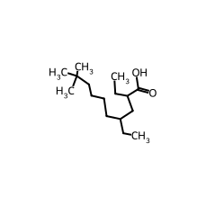 CCC(CCCCC(C)(C)C)CC(CC)C(=O)O